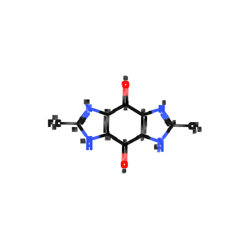 O=C1c2nc(C(F)(F)F)[nH]c2C(=O)c2[nH]c(C(F)(F)F)nc21